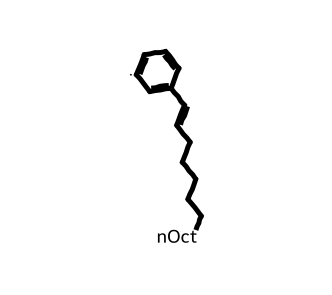 CCCCCCCCCCCCCC=Cc1c[c]ccc1